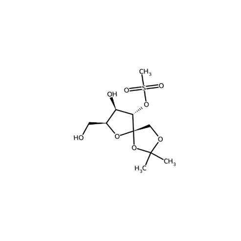 CC1(C)OC[C@]2(O[C@@H](CO)[C@@H](O)[C@@H]2OS(C)(=O)=O)O1